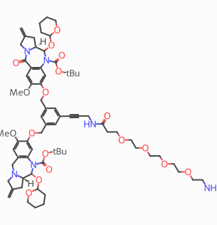 C=C1C[C@H]2[C@H](OC3CCCCO3)N(C(=O)OC(C)(C)C)c3cc(OCc4cc(C#CCNC(=O)CCOCCOCCOCCOCCN)cc(COc5cc6c(cc5OC)C(=O)N5CC(=C)C[C@H]5C(OC5CCCCO5)N6C(=O)OC(C)(C)C)c4)c(OC)cc3CN2C1